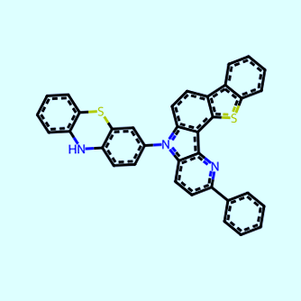 c1ccc(-c2ccc3c(n2)c2c4sc5ccccc5c4ccc2n3-c2ccc3c(c2)Sc2ccccc2N3)cc1